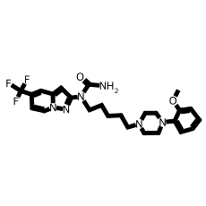 COc1ccccc1N1CCN(CCCCCN(C(N)=O)c2cc3cc(C(F)(F)F)ccn3n2)CC1